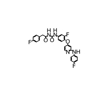 O=C(Cc1ccc(F)cc1)NC(=O)Nc1ccc(Oc2ccnc(Nc3ccc(F)cc3)c2)c(F)c1